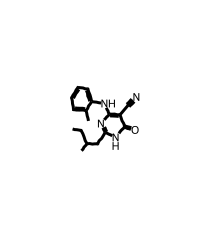 CCC(C)Cc1nc(Nc2ccccc2C)c(C#N)c(=O)[nH]1